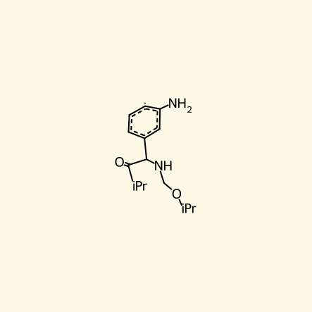 CC(C)OCNC(C(=O)C(C)C)c1cc[c]c(N)c1